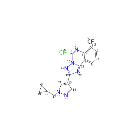 FC(F)(F)c1cccc2c1nc(Cl)n1nc(-c3cnn(CC4CC4)c3)nc21